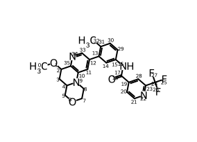 COC1CC2COCCN2c2cc(-c3cc(NC(=O)c4ccnc(C(F)(F)F)c4)ccc3C)cnc21